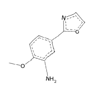 COc1ccc(-c2ncco2)cc1N